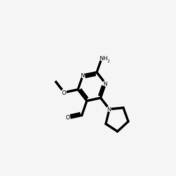 COc1nc(N)nc(N2CCCC2)c1C=O